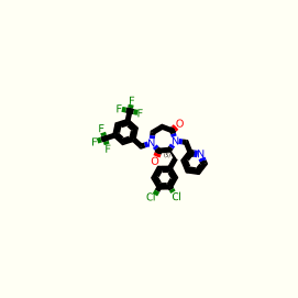 O=C1[C@H](Cc2ccc(Cl)c(Cl)c2)N(Cc2ccccn2)C(=O)CCN1Cc1cc(C(F)(F)F)cc(C(F)(F)F)c1